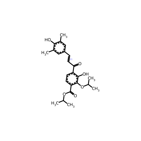 Cc1cc(/C=C/C(=O)c2ccc(C(=O)OC(C)C)c(OC(C)C)c2O)cc(C)c1O